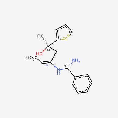 CCOC(=O)/C=C(\C[C@@](O)(c1cccs1)C(F)(F)F)N[C@H](N)c1ccccc1